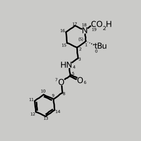 CC(C)(C)[C@@H]1C(CNC(=O)OCc2ccccc2)CCCN1C(=O)O